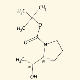 C[C@@H](O)[C@H]1CCCN1C(=O)OC(C)(C)C